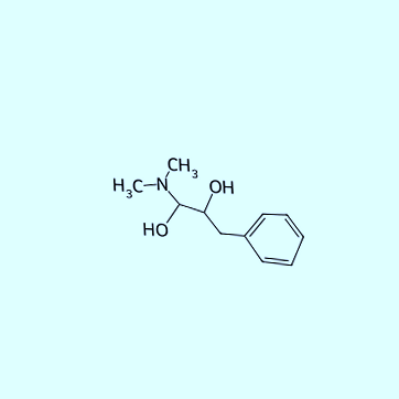 CN(C)C(O)C(O)Cc1ccccc1